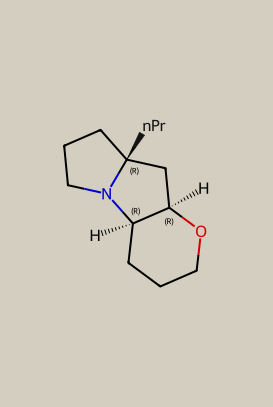 CCC[C@]12CCCN1[C@@H]1CCCO[C@@H]1C2